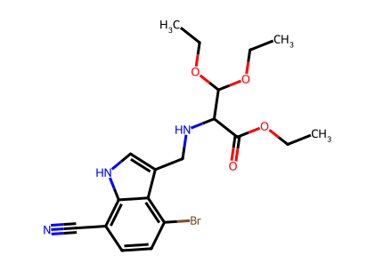 CCOC(=O)C(NCc1c[nH]c2c(C#N)ccc(Br)c12)C(OCC)OCC